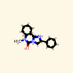 Cn1c(=O)n2cc(-c3ccccc3)nc2c2ccccc21